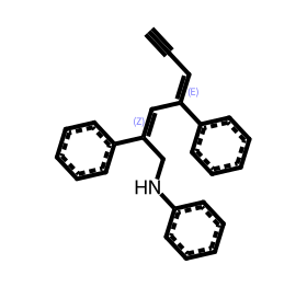 C#C/C=C(\C=C(/CNc1ccccc1)c1ccccc1)c1ccccc1